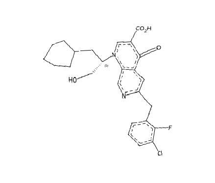 O=C(O)c1cn([C@H](CO)CC2CCCCC2)c2cnc(Cc3cccc(Cl)c3F)cc2c1=O